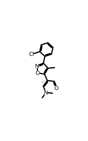 Cc1c(-c2ccccc2Cl)noc1/C(C=O)=C/N(C)C